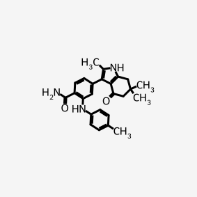 Cc1ccc(Nc2cc(-c3c(C)[nH]c4c3C(=O)CC(C)(C)C4)ccc2C(N)=O)cc1